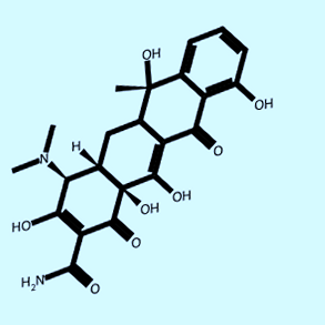 CN(C)[C@@H]1C(O)=C(C(N)=O)C(=O)[C@@]2(O)C(O)=C3C(=O)c4c(O)cccc4[C@@](C)(O)C3C[C@@H]12